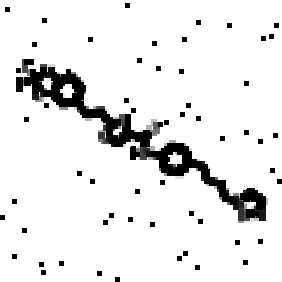 O=C(Nc1ccc(CCCCn2ccnn2)cc1)c1coc(/C=C/c2ccc3c(c2)OC(F)(F)O3)n1